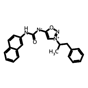 CC(Cc1ccccc1)[n+]1cc([N-]C(=O)Nc2ccc3ccccc3c2)on1